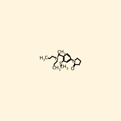 C=C(c1ccc(N2CCCC2=O)cc1SC)N(CCC)CCC